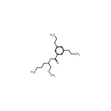 CCCCC(COC)OC(=O)c1cc(CCC)cc(CCC)c1